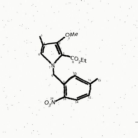 CCOC(=O)c1c(OC)c(C)cn1Cc1cc(C)ccc1[N+](=O)[O-]